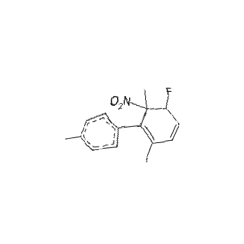 CC1=C(c2ccc(C)cc2)C(C)([N+](=O)[O-])C(F)C=C1